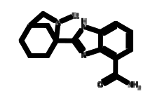 CCN1CC2CCCC1(c1nc3c(C(N)=O)cccc3[nH]1)C2